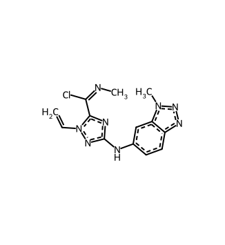 C=Cn1nc(Nc2ccc3nnn(C)c3c2)nc1/C(Cl)=N\C